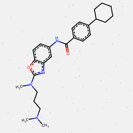 CN(C)CCCN(C)c1nc2cc(NC(=O)c3ccc(C4CCCCC4)cc3)ccc2o1